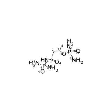 CC(CC(=O)NP(N)(N)=O)OP(N)(N)=O